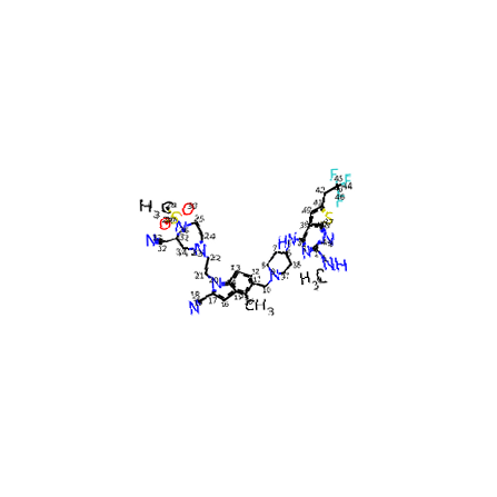 CNc1nc(NC2CCN(Cc3ccc4c(cc(C#N)n4CCN4CCN(S(C)(=O)=O)[C@H](C#N)C4)c3C)CC2)c2cc(CC(F)(F)F)sc2n1